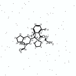 NC(=O)[C@@H]1CCC[N+]1(C(=O)c1c(F)cccc1F)C(=O)[C@H](CC1CCCC1)CN(O)C=O